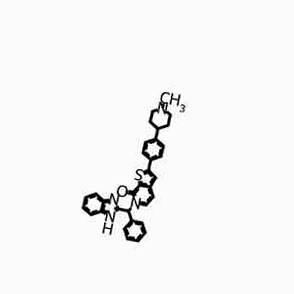 CN1CCC(c2ccc(-c3cc4ccn(C(c5ccccc5)c5nc6ccccc6[nH]5)c(=O)c4s3)cc2)CC1